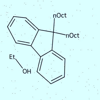 CCCCCCCCC1(CCCCCCCC)c2ccccc2-c2ccccc21.CCO